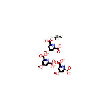 COc1cc(C(=O)[O-])nc(C(=O)[O-])c1.COc1cc(C(=O)[O-])nc(C(=O)[O-])c1.COc1cc(C(=O)[O-])nc(C(=O)[O-])c1.[Tb+3].[Tb+3]